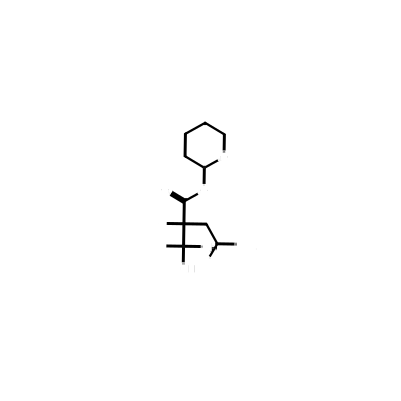 CC(C)CC(C)(C(=O)OC1CCCCO1)C(C)(C)C